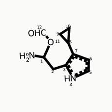 NC(Cc1[nH]ccc1C1CC1)OC=O